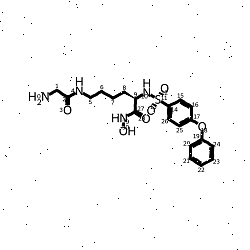 NCC(=O)NCCCC[C@@H](NS(=O)(=O)c1ccc(Oc2ccccc2)cc1)C(=O)NO